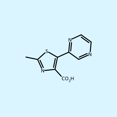 Cc1nc(C(=O)O)c(-c2cnccn2)s1